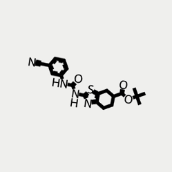 CC(C)(C)OC(=O)C1CCc2nc(NC(=O)Nc3cccc(C#N)c3)sc2C1